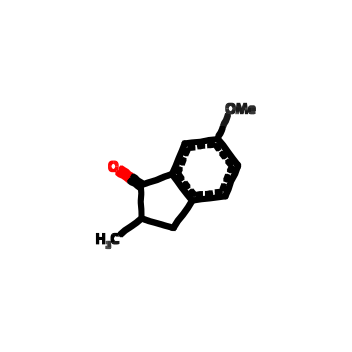 COc1ccc2c(c1)C(=O)C(C)C2